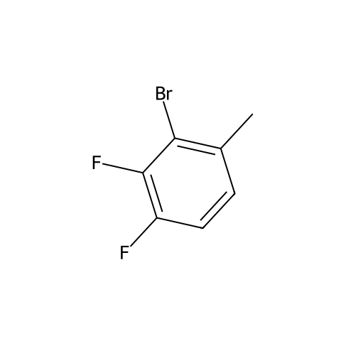 Cc1ccc(F)c(F)c1Br